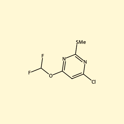 CSc1nc(Cl)cc(OC(F)F)n1